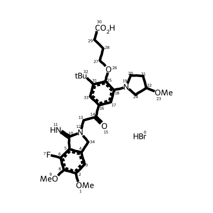 Br.COc1cc2c(c(F)c1OC)C(=N)N(CC(=O)c1cc(N3CCC(OC)C3)c(OCCCC(=O)O)c(C(C)(C)C)c1)C2